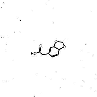 O=C(O)CC1=CC2OCOC2C=C1